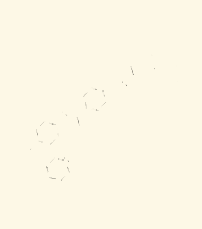 CC(C)(C)OC(=O)NCc1ccc(C(=O)Nc2ccc(Cl)c(-c3ccccn3)c2)cc1